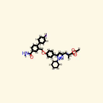 CNC(=O)c1ccc(-c2ccc(I)cc2)c(COc2ccc(-c3cc(/C=C(\C)C4OC(C)O4)nn3C3CCCCC3)cc2)c1